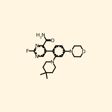 CC1(C)CCN(c2cc(N3CCOCC3)ccc2-c2cnc(F)nc2C(N)=O)CC1